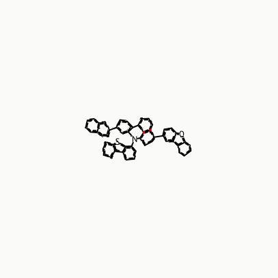 c1ccc(-c2ccc(-c3ccc4ccccc4c3)cc2N(c2ccc(-c3ccc4oc5ccccc5c4c3)cc2)c2cccc3c2sc2ccccc23)cc1